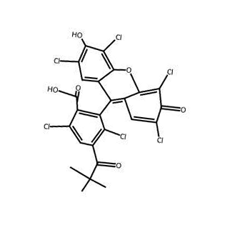 CC(C)(C)C(=O)c1cc(Cl)c(C(=O)O)c(-c2c3cc(Cl)c(=O)c(Cl)c-3oc3c(Cl)c(O)c(Cl)cc23)c1Cl